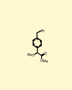 COC(=O)C(SC)c1ccc(CC(C)C)cc1